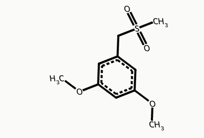 COc1cc(CS(C)(=O)=O)cc(OC)c1